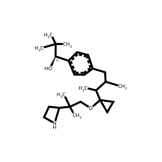 CC(Cc1ccc([C@@H](O)C(C)(C)C)cc1)C(C)C1(OCC(C)(C)C2CCN2)CC1